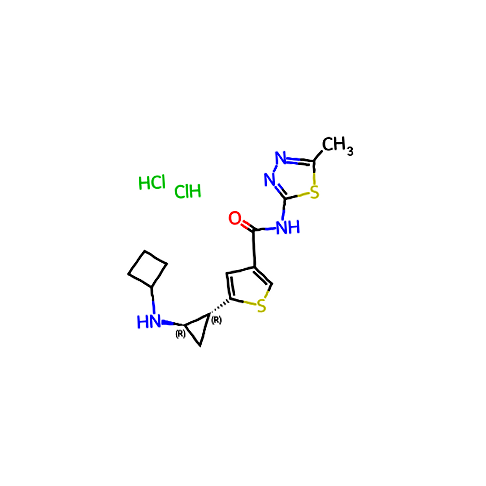 Cc1nnc(NC(=O)c2csc([C@@H]3C[C@H]3NC3CCC3)c2)s1.Cl.Cl